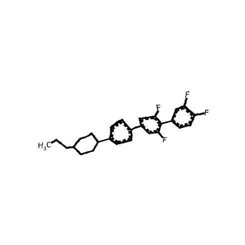 CCCC1CCC(c2ccc(-c3cc(F)c(-c4ccc(F)c(F)c4)c(F)c3)cc2)CC1